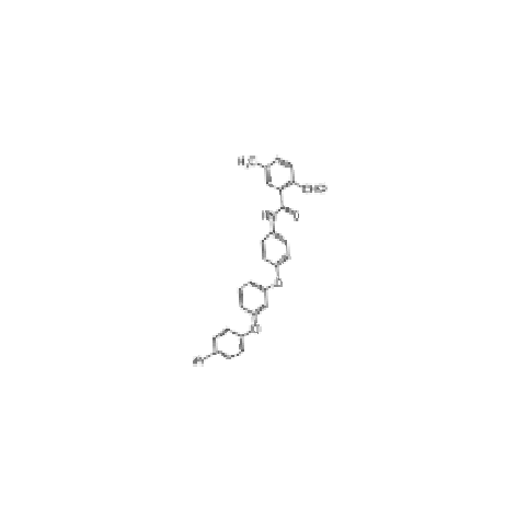 Cc1ccc(C=O)c(C(=O)Nc2ccc(Oc3cccc(Oc4ccc(C(C)C)cc4)c3)cc2)c1